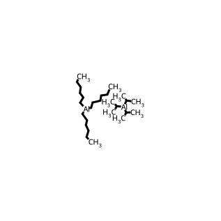 CCCCC[CH2][Al]([CH2]CCCCC)[CH2]CCCCC.C[CH](C)[Al]([CH](C)C)[CH](C)C